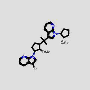 CCc1cn(C2CCC(C(C)(C)c3cn([C@H]4CCC[C@@H]4OC)c4ncccc34)C2OC)c2ncccc12